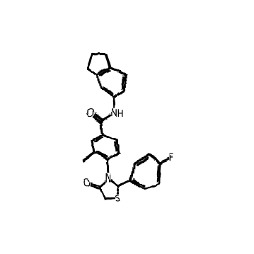 Cc1cc(C(=O)Nc2ccc3c(c2)CCC3)ccc1N1C(=O)CSC1c1ccc(F)cc1